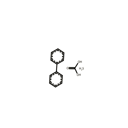 O=C(O)O.S.c1ccc(-c2ccccc2)cc1